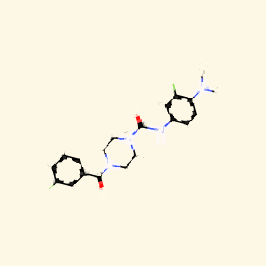 CCCN(CCC)c1ccc(NC(=O)N2CCN(C(=O)c3cccc(F)c3)CC2)cc1F